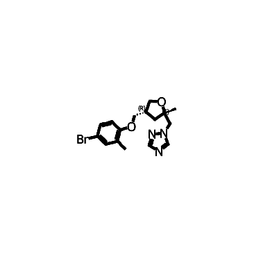 Cc1cc(Br)ccc1OC[C@@H]1CO[C@](C)(Cn2cncn2)C1